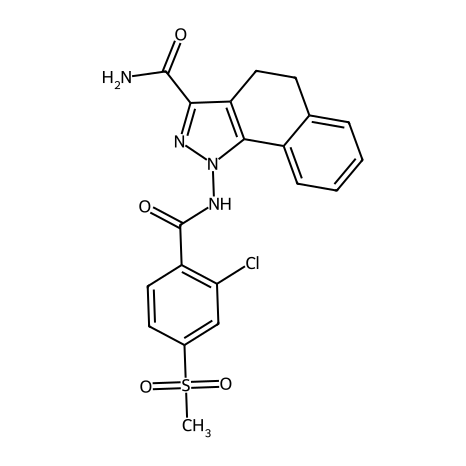 CS(=O)(=O)c1ccc(C(=O)Nn2nc(C(N)=O)c3c2-c2ccccc2CC3)c(Cl)c1